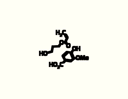 C=CC(=O)OCCCO.COc1cc(C(=O)O)ccc1O